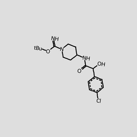 CC(C)(C)OC(=N)N1CCC(NC(=O)C(O)c2ccc(Cl)cc2)CC1